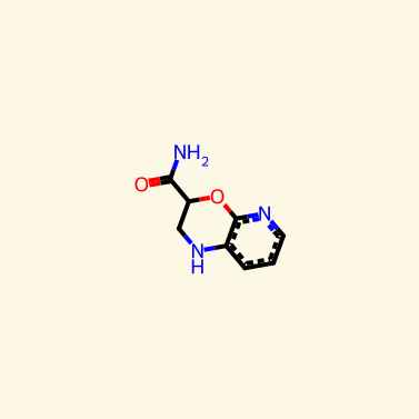 NC(=O)C1CNc2cccnc2O1